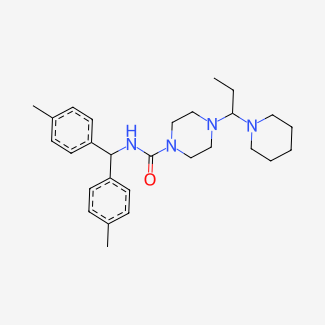 CCC(N1CCCCC1)N1CCN(C(=O)NC(c2ccc(C)cc2)c2ccc(C)cc2)CC1